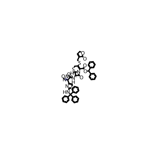 CO/N=C(\C(=O)N[C@@H]1C(=O)N2C(C(=O)OC(c3ccccc3)c3ccccc3)=C(SCC3=CCOC3=O)CS[C@@H]12)c1csc(NC(c2ccccc2)(c2ccccc2)c2ccccc2)n1